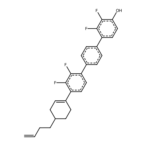 C=CCCC1CC=C(c2ccc(-c3ccc(-c4ccc(O)c(F)c4F)cc3)c(F)c2F)CC1